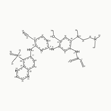 C=CC(=O)Nc1cc(Nc2ncc(C#N)c(Nc3ccc4nccnc4c3P(C)(C)=O)n2)c(OC)cc1N(C)CCN(C)C